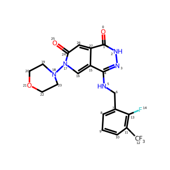 O=c1[nH]nc(NCc2cccc(C(F)(F)F)c2F)c2cn(N3CCOCC3)c(=O)cc12